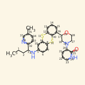 CCCC(Nc1ccc2c(c1)Sc1cccc(C3CN(c4ccc[nH]c4=O)CCO3)c1S2)c1ccc(C)cn1